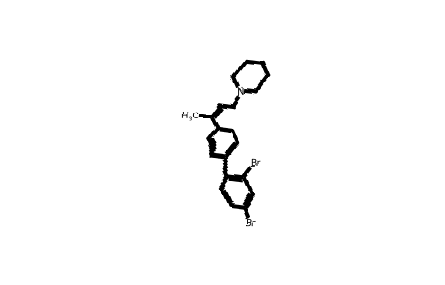 CC(=CCN1CCCCC1)c1ccc(-c2ccc(Br)cc2Br)cc1